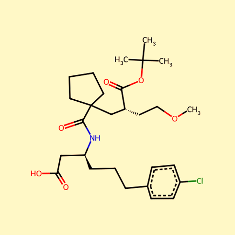 COCC[C@H](CC1(C(=O)N[C@@H](CCCc2ccc(Cl)cc2)CC(=O)O)CCCC1)C(=O)OC(C)(C)C